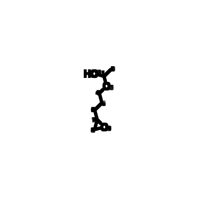 CC(O)OCCCC1CO1